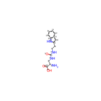 NC(CNC(=O)NCCc1cc2ccccc2[nH]1)C(=O)O